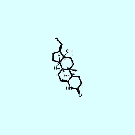 C[C@]12CC[C@H]3[C@@H](CC=C4NC(=O)CC[C@@H]43)[C@@H]1CCC2=CCl